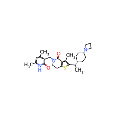 Cc1cc(C)c(CN2CCc3sc(C(C)[C@H]4CC[C@H](N5CCC5)CC4)c(C)c3C2=O)c(=O)[nH]1